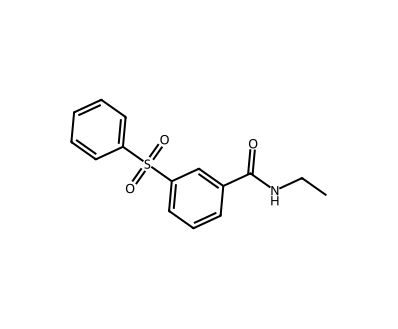 CCNC(=O)c1cccc(S(=O)(=O)c2ccccc2)c1